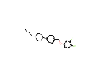 CCCCC1CCC(c2ccc(COc3ccc(F)c(F)c3)cc2)CC1